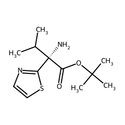 CC(C)[C@@](N)(C(=O)OC(C)(C)C)c1nccs1